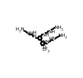 NCCCNCCCNCc1cc(CNCCCNCCCN)cc(-c2ccc(OC(F)(F)F)c(CNCCCNCCCN)c2)c1